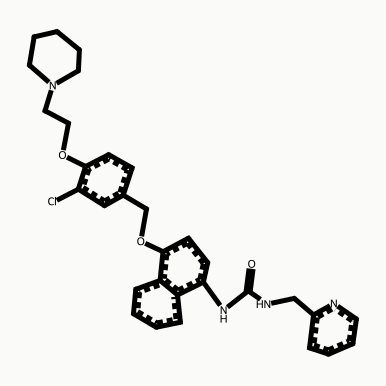 O=C(NCc1ccccn1)Nc1ccc(OCc2ccc(OCCN3CCCCC3)c(Cl)c2)c2ccccc12